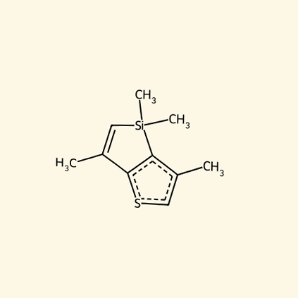 CC1=C[Si](C)(C)c2c(C)csc21